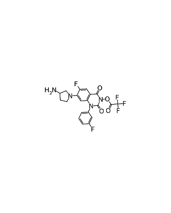 NC1CCN(c2cc3c(cc2F)c(=O)n(OC(=O)C(F)(F)F)c(=O)n3-c2cccc(F)c2)C1